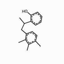 Cc1ccc(CC(C)c2ccccc2O)c(C)c1C